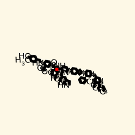 COc1cc(CN2CCN(C3CC4(CCN(c5ccc(C(=O)NS(=O)(=O)c6ccc(NCC7CCC(C)(O)CC7)c([N+](=O)[O-])c6)c(N6c7cc8cc[nH]c8nc7O[C@H]7COCC[C@@H]76)n5)CC4)C3)[C@H](c3ccccc3C)C2)cnc1N1CCOCC1